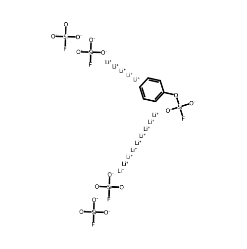 [Li+].[Li+].[Li+].[Li+].[Li+].[Li+].[Li+].[Li+].[Li+].[Li+].[Li+].[Li+].[Li+].[Li+].[O-][Si]([O-])(F)Oc1ccccc1.[O-][Si]([O-])([O-])F.[O-][Si]([O-])([O-])F.[O-][Si]([O-])([O-])F.[O-][Si]([O-])([O-])F